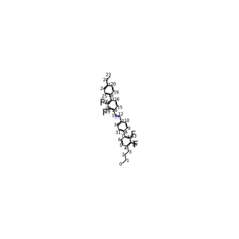 CCCCc1ccc(-c2ccc(/C=C/c3ccc(-c4ccc(CC)cc4)c(F)c3F)cc2)c(F)c1F